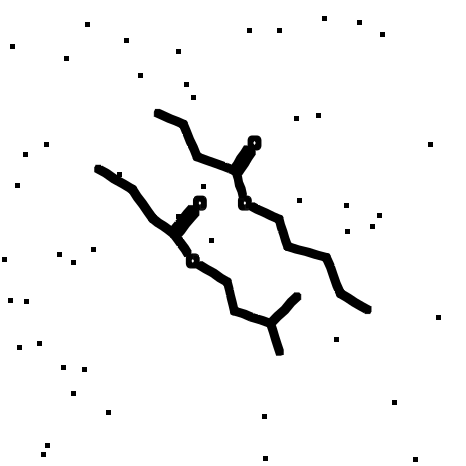 CCCC(=O)OCCC(C)C.CCCCCOC(=O)CCC